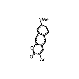 CNc1ccc2cc3cc(C(C)=O)c(=O)oc3cc2c1